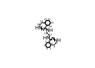 c1ccc2c(c1)CCNN=C2NCCNC1=NNCCc2ccccc21